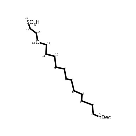 CCCCCCCCCCCCCCCCCCCCCCOCCS(=O)(=O)O